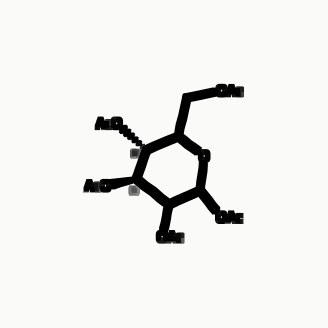 CC(=O)OCC1OC(OC(C)=O)C(OC(C)=O)[C@@H](OC(C)=O)[C@@H]1OC(C)=O